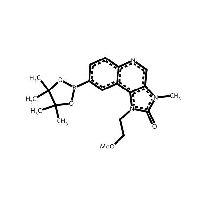 COCCn1c(=O)n(C)c2cnc3ccc(B4OC(C)(C)C(C)(C)O4)cc3c21